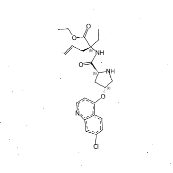 C=CC[C@@](CC)(NC(=O)[C@@H]1C[C@@H](Oc2ccnc3cc(Cl)ccc23)CN1)C(=O)OCC